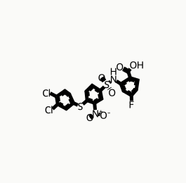 O=C(O)c1ccc(F)cc1NS(=O)(=O)c1ccc(Sc2ccc(Cl)c(Cl)c2)c([N+](=O)[O-])c1